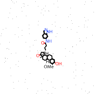 COc1cc2c(cc1O)CC[C@H]1[C@@H]3[C@@H](CCCC(=O)Nc4ccc5cn[nH]c5c4)CC(=O)[C@@]3(C)CC[C@H]21